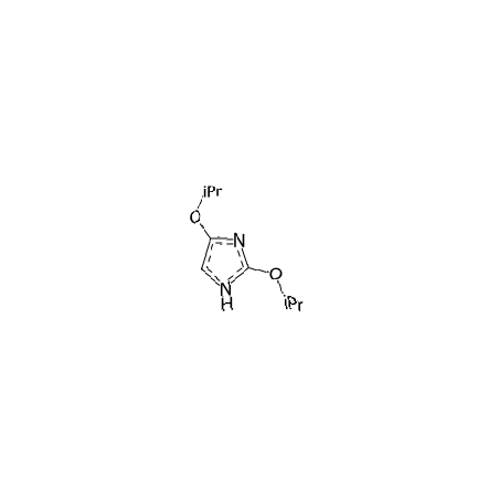 CC(C)Oc1c[nH]c(OC(C)C)n1